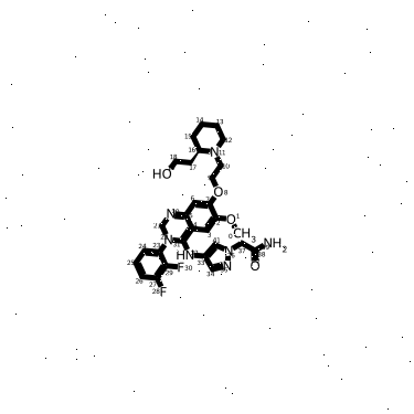 COc1cc2c(cc1OCCN1CCCC[C@@H]1CCO)=NCN(c1cccc(F)c1F)C=2Nc1cnn(CC(N)=O)c1